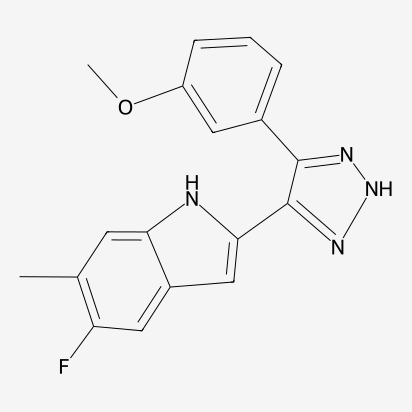 COc1cccc(-c2n[nH]nc2-c2cc3cc(F)c(C)cc3[nH]2)c1